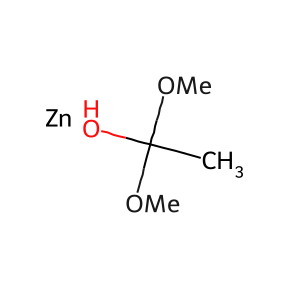 COC(C)(O)OC.[Zn]